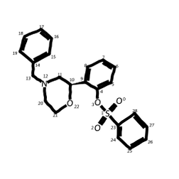 O=S(=O)(Oc1ccccc1[C@@H]1CN(Cc2ccccc2)CCO1)c1ccccc1